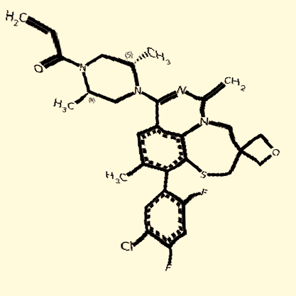 C=CC(=O)N1C[C@H](C)N(C2=NC(=C)N3CC4(COC4)CSc4c(-c5cc(Cl)c(F)cc5F)c(C)cc2c43)C[C@H]1C